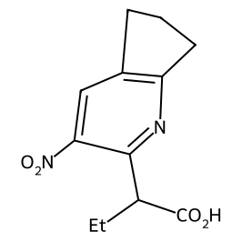 CCC(C(=O)O)c1nc2c(cc1[N+](=O)[O-])CCC2